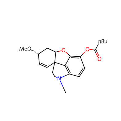 CCCCC(=O)Oc1ccc2c3c1OC1C[C@@H](OC)C=CC31CCN2C